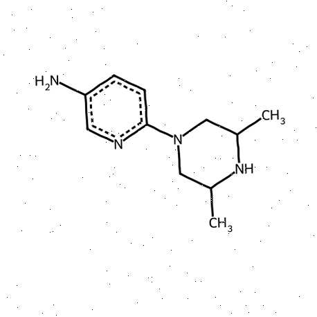 CC1CN(c2ccc(N)cn2)CC(C)N1